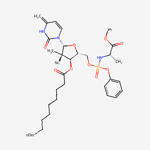 C=C1C=CN([C@@H]2O[C@H](COP(=O)(N[C@@H](C)C(=O)OC(C)C)Oc3ccccc3)[C@@H](OC(=O)CCCCCCCCCCCCCCCCC)[C@@]2(C)C#N)C(=O)N1